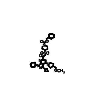 COCC1CCN(c2cc(C(=O)CS(=O)(=O)C3CCN(C(=O)OCc4ccccc4)CC3)nc3c2c(C2CCC2)nn3-c2ccccc2)CC1